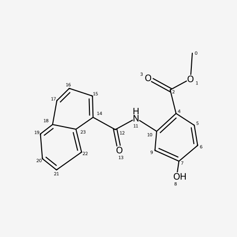 COC(=O)c1ccc(O)cc1NC(=O)c1cccc2ccccc12